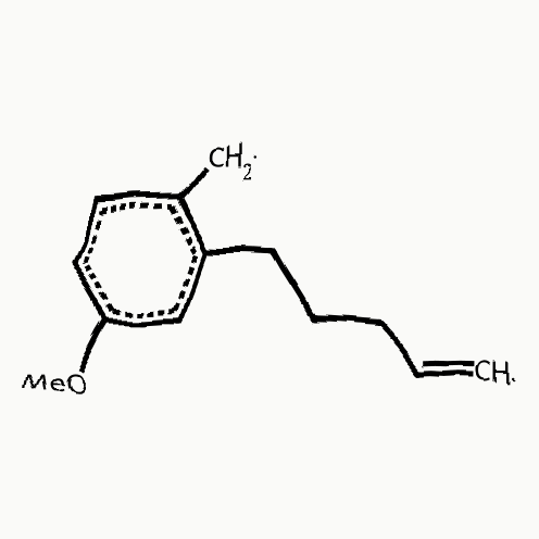 [CH]=CCCCc1cc(OC)ccc1[CH2]